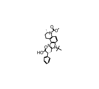 COC(=O)N1c2ccc3c(nc(C[C@@H](C(=O)O)c4ccccc4)n3C(C)(C)C)c2CC[C@@H]1C